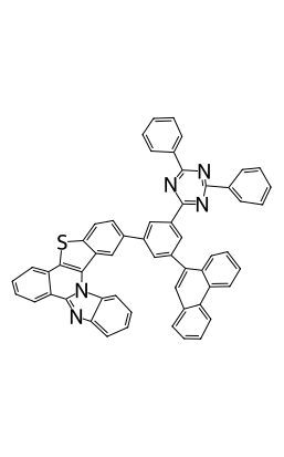 c1ccc(-c2nc(-c3ccccc3)nc(-c3cc(-c4ccc5sc6c7ccccc7c7nc8ccccc8n7c6c5c4)cc(-c4cc5ccccc5c5ccccc45)c3)n2)cc1